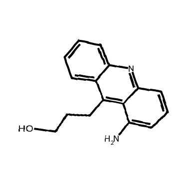 Nc1cccc2nc3ccccc3c(CCCO)c12